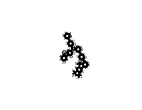 CC1(C)CC(C)(C)c2cc3c(cc21)-c1cccc(-c2ccc(-c4cccc(N(c5ccc(-c6ccccc6)cc5)c5ccc6c(c5)oc5ccccc56)c4)cc2)c1C3(C)C